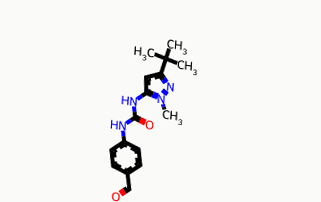 Cn1nc(C(C)(C)C)cc1NC(=O)Nc1ccc(C=O)cc1